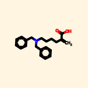 C=C(CCCCN(Cc1ccccc1)Cc1ccccc1)C(=O)O